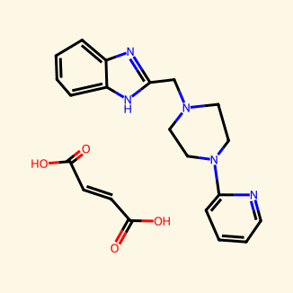 O=C(O)C=CC(=O)O.c1ccc(N2CCN(Cc3nc4ccccc4[nH]3)CC2)nc1